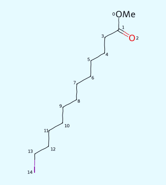 COC(=O)CCCCCCCCCCCI